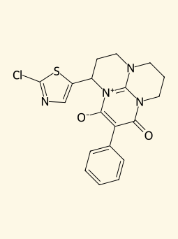 O=c1c(-c2ccccc2)c([O-])[n+]2c3n1CCCN3CCC2c1cnc(Cl)s1